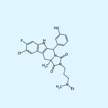 CCN(C)CCCN1C(=O)N2C(c3cccc(O)c3)c3[nH]c4cc(F)c(Cl)cc4c3CC2(C)C1=O